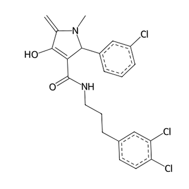 C=C1C(O)=C(C(=O)NCCCc2ccc(Cl)c(Cl)c2)C(c2cccc(Cl)c2)N1C